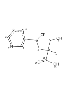 CC(CO)(CC(Cl)c1cnccn1)C(=O)O